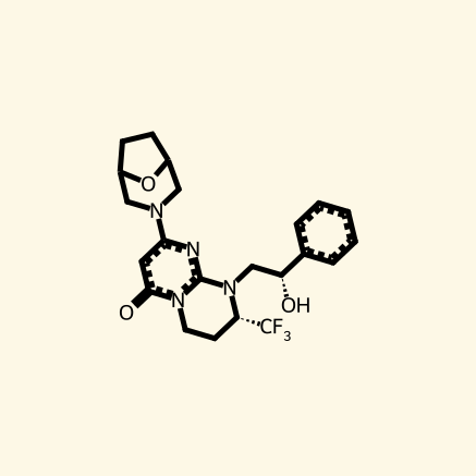 O=c1cc(N2CC3CCC(C2)O3)nc2n1CC[C@@H](C(F)(F)F)N2C[C@@H](O)c1ccccc1